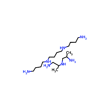 CC(N)CNC(C)CN.NCCCCNCCCCNCCCCN